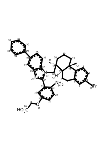 CC(C)c1ccc2c(c1)CC[C@H]1[C@@](C)(Cn3c(-c4cc(OCC(=O)O)ccc4N)nc4cc(-c5ccccc5)ccc43)CCC[C@]21C